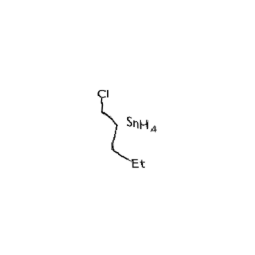 CCCCCCl.[SnH4]